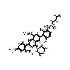 COc1cc(-c2c(F)ccc(N[S+]([O-])CCCF)c2F)cc2c(N3CCOCC3)nc(-c3cnc(N)cc3C(F)(F)F)nc12